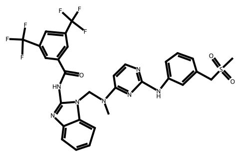 CN(Cn1c(NC(=O)c2cc(C(F)(F)F)cc(C(F)(F)F)c2)nc2ccccc21)c1ccnc(Nc2cccc(CS(C)(=O)=O)c2)n1